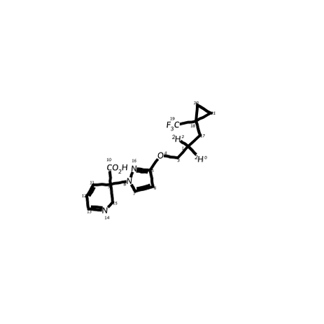 [2H]C([2H])(COc1ccn(C2(C(=O)O)C=CC=NC2)n1)CC1(C(F)(F)F)CC1